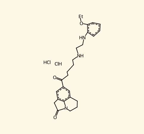 CCOc1ccccc1NCCNCCCCC(=O)c1cc2c3c(c1)CC(=O)N3CCC2.Cl.Cl